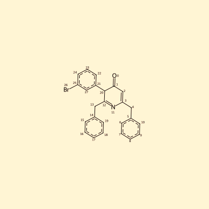 O=C1C=C(Cc2ccccc2)N=C(Cc2ccccc2)C1c1cccc(Br)c1